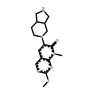 CSc1ncc2cc(N3CCC4CNCC4C3)c(=O)n(C)c2n1